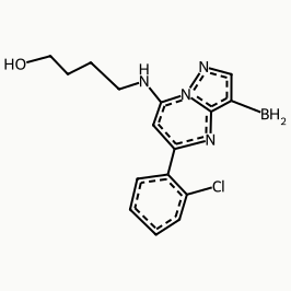 Bc1cnn2c(NCCCCO)cc(-c3ccccc3Cl)nc12